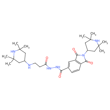 CC1(C)CC(NCCC(=O)NNC(=O)c2ccc3c(c2)C(=O)N(C2CC(C)(C)NC(C)(C)C2)C3=O)CC(C)(C)N1